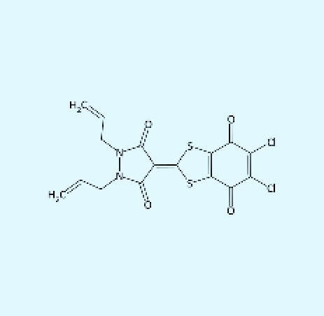 C=CCN1C(=O)C(=C2SC3=C(S2)C(=O)C(Cl)=C(Cl)C3=O)C(=O)N1CC=C